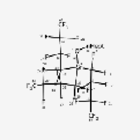 CCCCCCC[O][Sn]([C](F)(F)C(F)(F)C(F)(F)C(F)(F)F)([C](F)(F)C(F)(F)C(F)(F)C(F)(F)F)[C](F)(F)C(F)(F)C(F)(F)C(F)(F)F